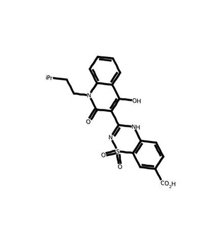 CC(C)CCn1c(=O)c(C2=NS(=O)(=O)c3cc(C(=O)O)ccc3N2)c(O)c2ccccc21